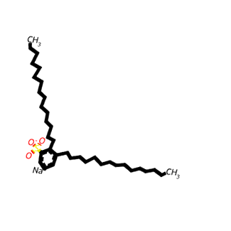 CCCCCCCCCCCCCCCc1cccc(S(=O)(=O)[O-])c1CCCCCCCCCCCCCCC.[Na+]